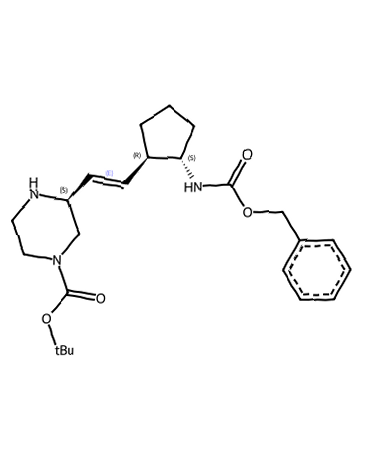 CC(C)(C)OC(=O)N1CCN[C@@H](/C=C/[C@H]2CCC[C@@H]2NC(=O)OCc2ccccc2)C1